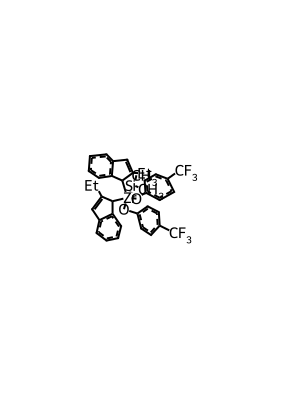 CCC1=Cc2ccccc2[CH]1[Zr]([O]c1ccc(C(F)(F)F)cc1)([O]c1ccc(C(F)(F)F)cc1)([CH]1C(CC)=Cc2ccccc21)=[Si](C)C